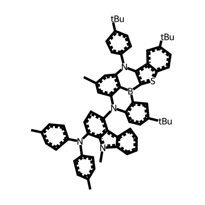 Cc1ccc(N(c2ccc(C)cc2)c2ccc(N3c4ccc(C(C)(C)C)cc4B4c5sc6ccc(C(C)(C)C)cc6c5N(c5ccc(C(C)(C)C)cc5)c5cc(C)cc3c54)c3c4ccccc4n(C)c23)cc1